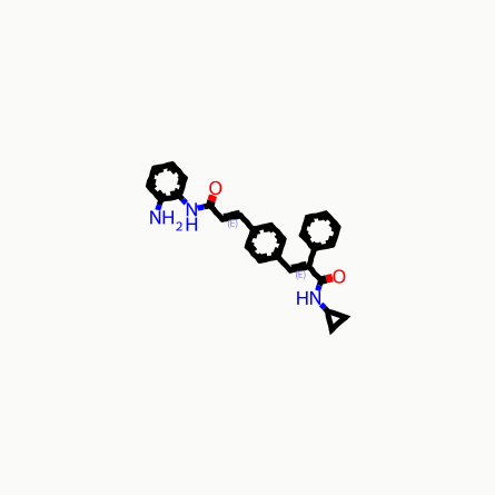 Nc1ccccc1NC(=O)/C=C/c1ccc(/C=C(/C(=O)NC2CC2)c2ccccc2)cc1